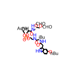 C=CCOP(=O)(OCCNC(=O)[C@@H](NC(=O)Cc1c[nH]c2ccc(OCCCC)cc12)[C@@H](C)CC)OC[C@@H](NC(C)=O)C(=O)NC[C@@H](COC=O)OC=O